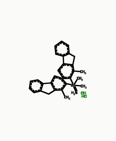 Cc1[c]([Zr]([CH3])([CH3])(=[SiH2])[c]2ccc3c(c2C)Cc2ccccc2-3)ccc2c1Cc1ccccc1-2.Cl.Cl